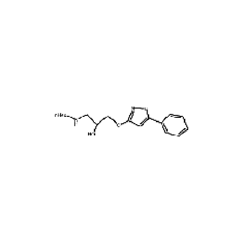 CCCCCCNCC(O)COc1cc(-c2ccccc2)on1